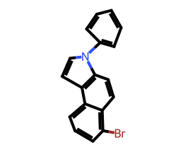 Brc1cccc2c1ccc1c2ccn1-c1ccccc1